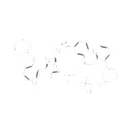 Cc1cccc(CC2CCCCC2)c1-c1nc2nc(c1C)OC[C@@H](CC(C)(C)C)C(Cc1ncccc1N1CCOCC1)c1cccc(c1)S(=O)(=O)N2